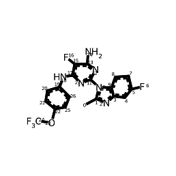 Cc1nc2cc(F)ccc2n1-c1nc(N)c(F)c(Nc2ccc(OC(F)(F)F)cc2)n1